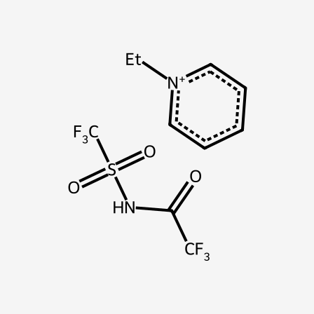 CC[n+]1ccccc1.O=C(NS(=O)(=O)C(F)(F)F)C(F)(F)F